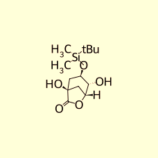 CC(C)(C)[Si](C)(C)O[C@@H]1C[C@]2(O)C[C@@H](OC2=O)[C@H]1O